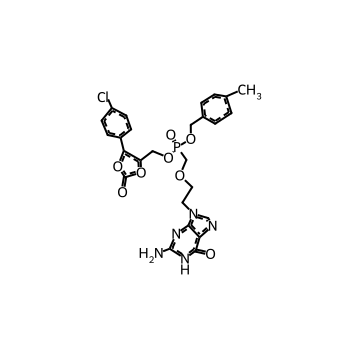 Cc1ccc(COP(=O)(COCCn2cnc3c(=O)[nH]c(N)nc32)OCc2oc(=O)oc2-c2ccc(Cl)cc2)cc1